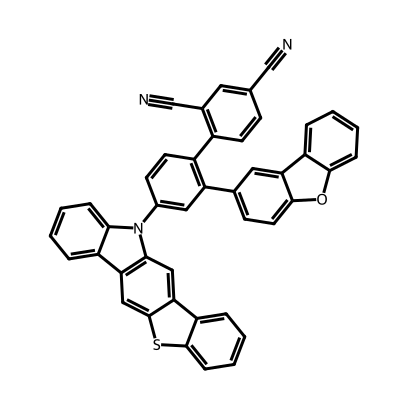 N#Cc1ccc(-c2ccc(-n3c4ccccc4c4cc5sc6ccccc6c5cc43)cc2-c2ccc3oc4ccccc4c3c2)c(C#N)c1